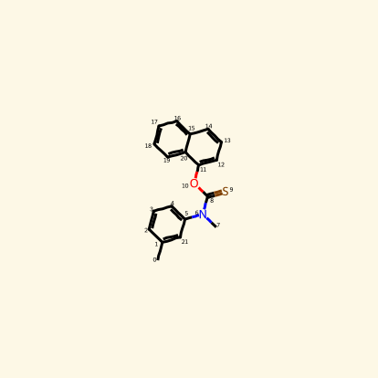 Cc1cccc(N(C)C(=S)Oc2cccc3ccccc23)c1